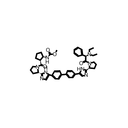 CCN(CC)[C@@H](C(=O)N1CCC[C@H]1c1ncc(-c2ccc(-c3ccc(-c4cnc([C@@H]5CCCN5C(=O)[C@H]5CCC[C@H]5NC(=O)OC)[nH]4)cc3)cc2)[nH]1)c1ccccc1